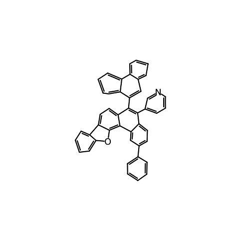 c1ccc(-c2ccc3c(-c4cccnc4)c(-c4cc5ccccc5c5ccccc45)c4ccc5c6ccccc6oc5c4c3c2)cc1